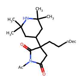 CCCCCCCCCCCCC1(C2CC(C)(C)NC(C)(C)C2)CC(=O)N(C(C)=O)C1=O